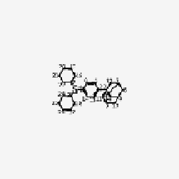 c1cc(C23CC4CC(CC(C4)C2)C3)ccc1[S+](C1CCCCC1)C1CCCCC1